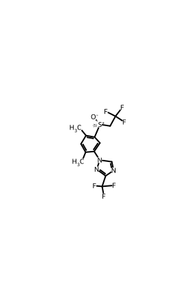 Cc1cc(C)c([S@+]([O-])CC(F)(F)F)cc1-n1cnc(C(F)(F)F)n1